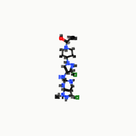 CCn1nc(Cl)c2cnc(Nc3cn(C4CCN(C(=O)C(C)(C)C)CC4)nc3Cl)nc21